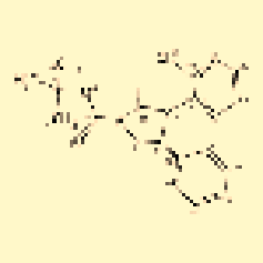 CC(C)(C)OC(=O)[C@@H]1C[C@H](c2ccccc2)C(c2ccccc2Cl)N1